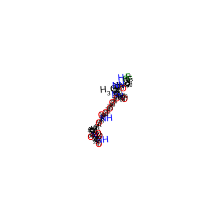 Cc1ncc(NC(=O)c2cccc(C(F)(F)F)c2)cc1-c1cnc(OCCOCCOCCOCC(=O)NCCOCCCc2cccc3c2C(=O)N(C2CCC(=O)NC2=O)C3=O)c(N2CCOCC2)c1